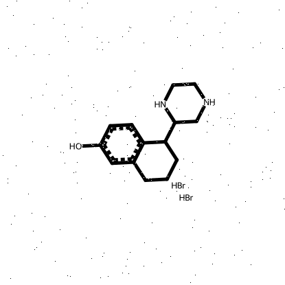 Br.Br.Oc1ccc2c(c1)CCCC2C1CNCCN1